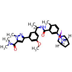 COc1cc(-c2cc(C(=O)N(C)C)n(C)n2)cc([C@@H](C)NC(=O)c2cc(N3C[C@H]4CC[C@@H](C3)N4CI)ccc2C)c1